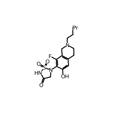 CC(C)CCN1CCc2cc(O)c(N3CC(=O)NS3(=O)=O)c(F)c2C1